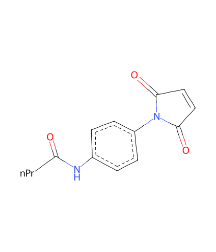 CCCC(=O)Nc1ccc(N2C(=O)C=CC2=O)cc1